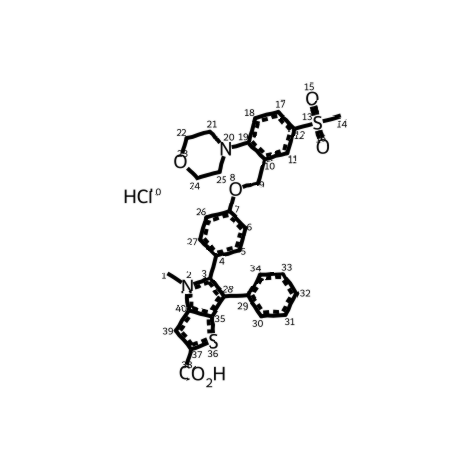 Cl.Cn1c(-c2ccc(OCc3cc(S(C)(=O)=O)ccc3N3CCOCC3)cc2)c(-c2ccccc2)c2sc(C(=O)O)cc21